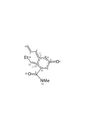 C=C/C=c1/sc(=O)cc(C(=O)NC)/c1=C/CC